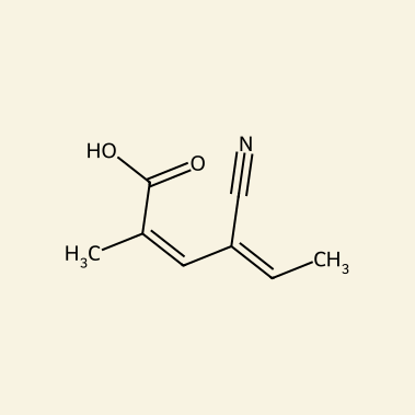 CC=C(C#N)C=C(C)C(=O)O